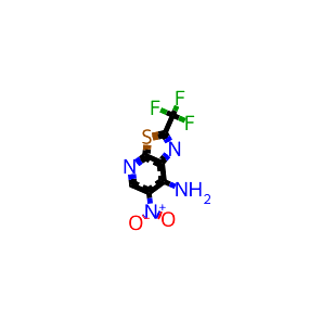 Nc1c([N+](=O)[O-])cnc2sc(C(F)(F)F)nc12